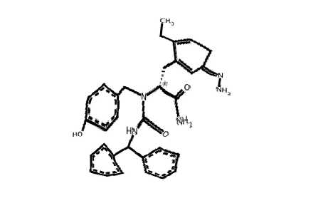 CCC1=CCC(=NN)C=C1C[C@H](C(N)=O)N(Cc1ccc(O)cc1)C(=O)NC(c1ccccc1)c1ccccc1